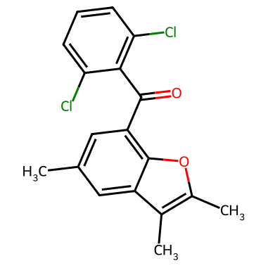 Cc1cc(C(=O)c2c(Cl)cccc2Cl)c2oc(C)c(C)c2c1